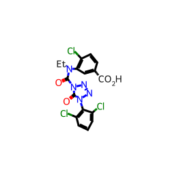 CCN(C(=O)n1nnn(-c2c(Cl)cccc2Cl)c1=O)c1cc(C(=O)O)ccc1Cl